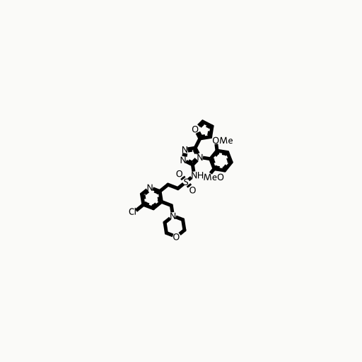 COc1cccc(OC)c1-n1c(NS(=O)(=O)CCc2ncc(Cl)cc2CN2CCOCC2)nnc1-c1ccco1